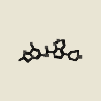 Cc1cn2cc(NC(=O)c3ccc(C4CCNCC4)c4ccnnc34)cc(F)c2n1